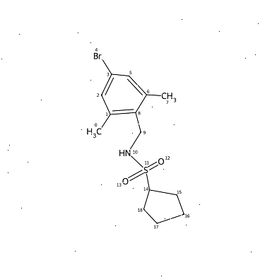 Cc1cc(Br)cc(C)c1CNS(=O)(=O)C1CCCC1